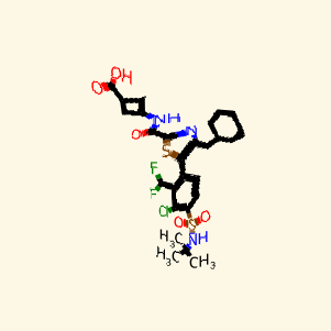 CC(C)(C)NS(=O)(=O)c1ccc(-c2sc(C(=O)NC3CC(C(=O)O)C3)nc2CC2CCCCC2)c(C(F)F)c1Cl